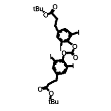 CC(C)(C)OC(=O)CCc1cc(I)c(OC(=O)Oc2c(I)cc(CCC(=O)OC(C)(C)C)cc2I)c(I)c1